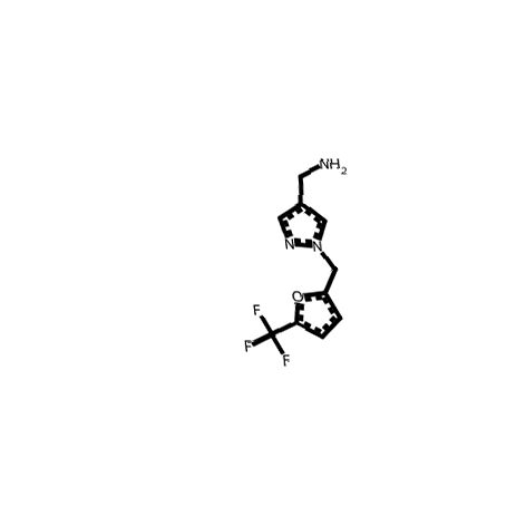 NCc1cnn(Cc2ccc(C(F)(F)F)o2)c1